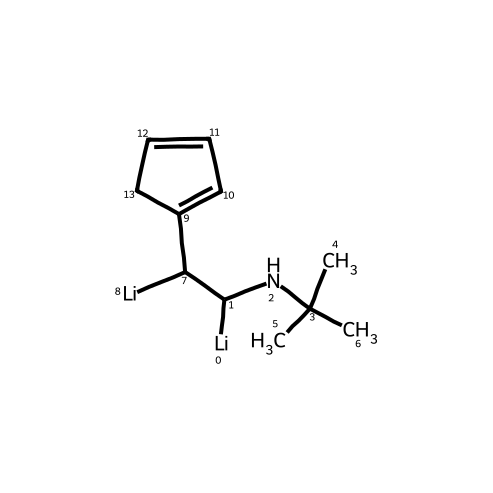 [Li][CH](NC(C)(C)C)[CH]([Li])C1=CC=CC1